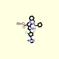 COC(=O)c1cnc(N(Cc2ccccc2)Cc2ccccc2)c2[nH]c(-c3c(F)cc(-c4nccn4C)cc3F)cc12